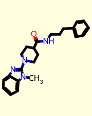 Cn1c(N2CCC(C(=O)NCCCc3ccccc3)CC2)nc2ccccc21